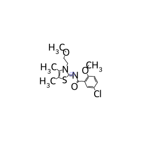 COCCn1c(C)c(C)s/c1=N\C(=O)c1cc(Cl)ccc1OC